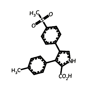 Cc1ccc(-c2c(-c3ccc(S(C)(=O)=O)cc3)c[nH]c2C(=O)O)cc1